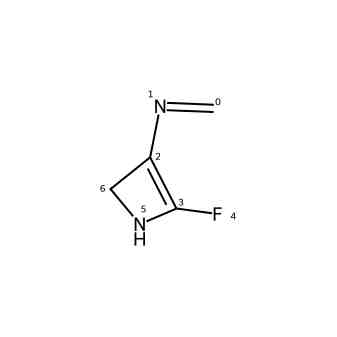 C=NC1=C(F)NC1